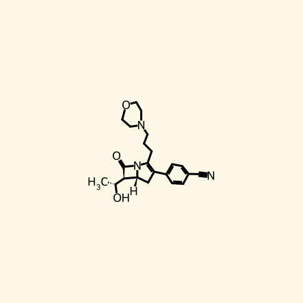 C[C@@H](O)[C@H]1C(=O)N2C(CCCN3CCOCC3)=C(c3ccc(C#N)cc3)C[C@H]12